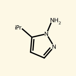 CC(C)c1ccnn1N